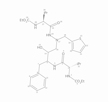 CCOC(=O)N[C@H](C(=O)NC(Cc1ccccc1)C(O)CN(Cc1cccs1)NC(=O)[C@@H](NC(=O)OCC)C(C)C)C(C)C